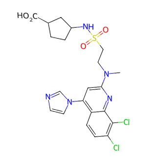 CN(CCS(=O)(=O)NC1CCC(C(=O)O)C1)c1cc(-n2ccnc2)c2ccc(Cl)c(Cl)c2n1